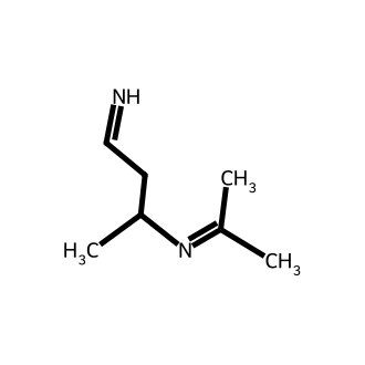 CC(C)=NC(C)CC=N